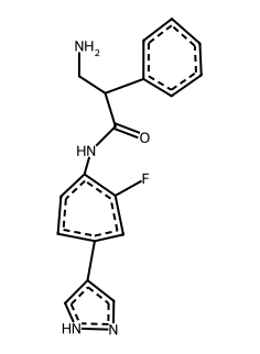 NCC(C(=O)Nc1ccc(-c2cn[nH]c2)cc1F)c1ccccc1